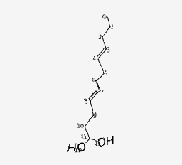 CCC/C=C/CC/C=C/CCC(O)O